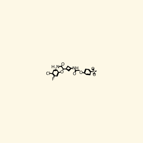 CS(=O)(=O)c1ccc(OCC(=O)NC23CC(C(Oc4ccc(Cl)c(F)c4)C(N)=O)(C2)C3)cc1